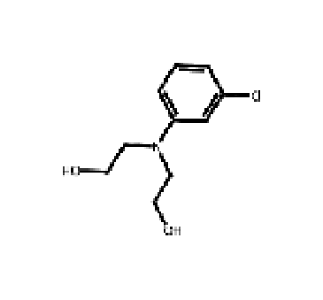 OCCN(CCO)c1cccc(Cl)c1